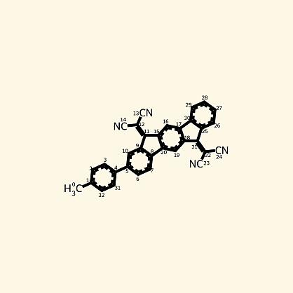 Cc1ccc(-c2ccc3c(c2)C(=C(C#N)C#N)c2cc4c(cc2-3)C(=C(C#N)C#N)c2ccccc2-4)cc1